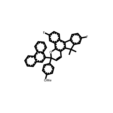 COc1ccc(C2(c3cc4ccccc4c4ccccc34)C=Cc3c4c(c5ccc(F)cc5c3O2)-c2ccc(F)cc2C4(C)C)cc1